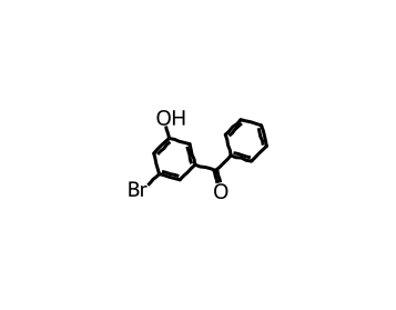 O=C(c1ccccc1)c1cc(O)cc(Br)c1